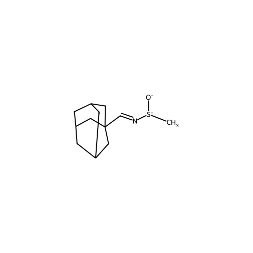 C[S+]([O-])/N=C/C12CC3CC(CC(C3)C1)C2